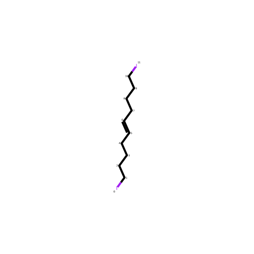 ICCCCC=CCCCCI